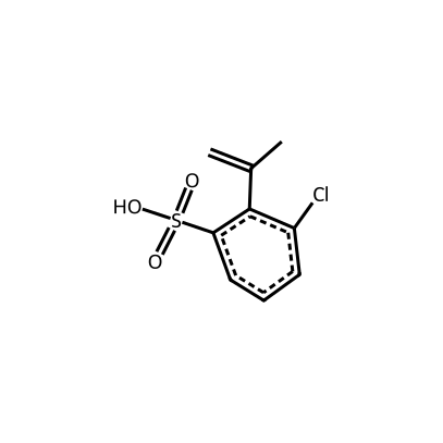 C=C(C)c1c(Cl)cccc1S(=O)(=O)O